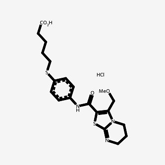 COCC1=C(C(=O)Nc2ccc(SCCCCC(=O)O)cc2)SC2=NCCCN21.Cl